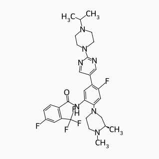 CC(C)N1CCN(c2ncc(-c3cc(NC(=O)c4ccc(F)cc4C(F)(F)F)c(N4CCN(C)[C@H](C)C4)cc3F)cn2)CC1